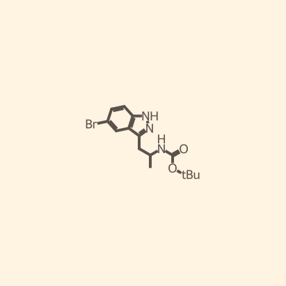 CC(Cc1n[nH]c2ccc(Br)cc12)NC(=O)OC(C)(C)C